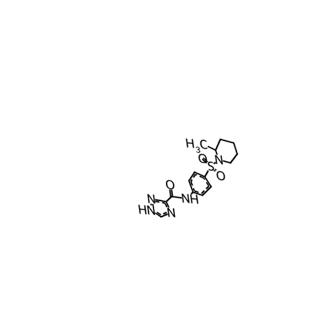 CC1CCCCN1S(=O)(=O)c1ccc(NC(=O)c2nc[nH]n2)cc1